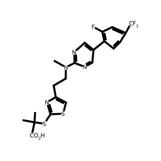 CN(CCc1csc(SC(C)(C)C(=O)O)n1)c1ncc(-c2ccc(C(F)(F)F)cc2F)cn1